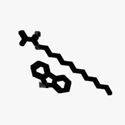 C=C(C)C(=O)OCCCCCCCCCCCC.c1ccc2c(c1)[nH]c1ccccc12